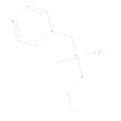 CCCC[N+](C)(CCO)Cc1ccccc1